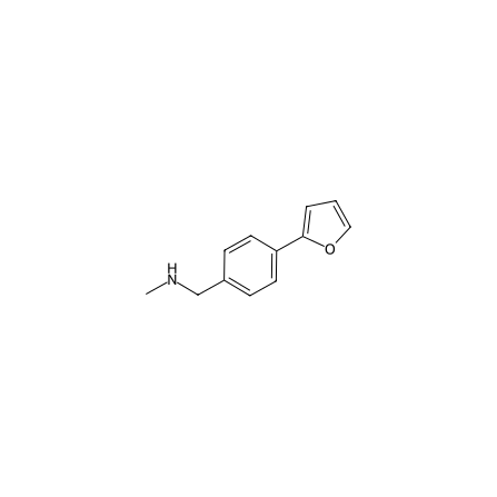 CNCc1ccc(-c2ccco2)cc1